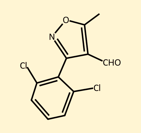 Cc1onc(-c2c(Cl)cccc2Cl)c1C=O